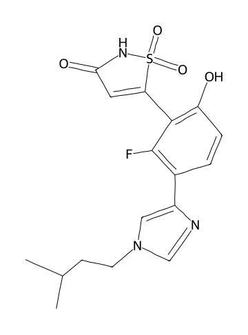 CC(C)CCn1cnc(-c2ccc(O)c(C3=CC(=O)NS3(=O)=O)c2F)c1